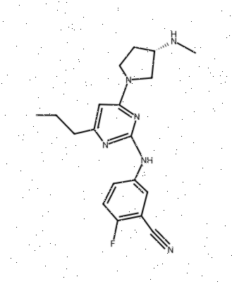 CCCc1cc(N2CC[C@H](NC)C2)nc(Nc2ccc(F)c(C#N)c2)n1